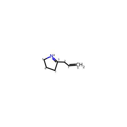 C=CCC1=NCCC1